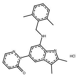 Cc1cccc(C)c1CNc1cc(-n2ncccc2=O)cn2c(C)c(C)nc12.Cl